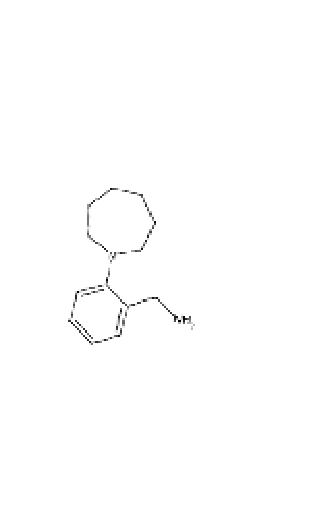 NCc1ccccc1N1CCCCCC1